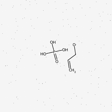 C=CC[O].O=P(O)(O)O